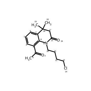 CC(=O)c1cccc2c1N(CCCCCl)C(=O)CC2(C)C